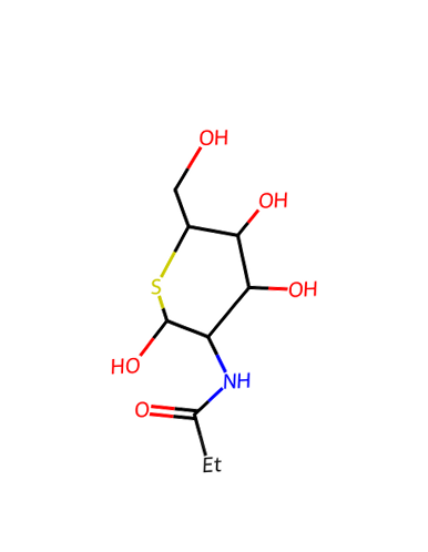 CCC(=O)NC1C(O)SC(CO)C(O)C1O